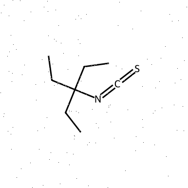 CCC(CC)(CC)N=C=S